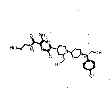 CC[C@H]1CN(c2nc(N)c(C(=O)NCCO)nc2Cl)CCN1C1CCN([C@H](CO)c2ccc(Cl)cc2)CC1